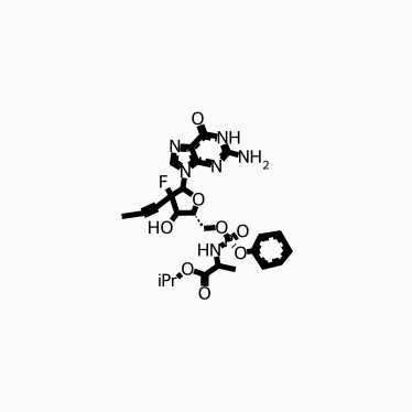 CC#CC1(F)C(O)[C@@H](COP(=O)(NC(C)C(=O)OC(C)C)Oc2ccccc2)OC1n1cnc2c(=O)[nH]c(N)nc21